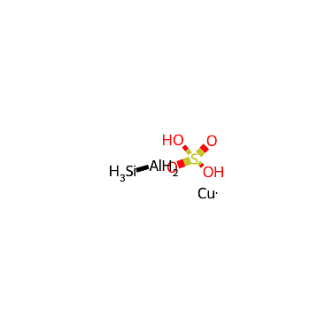 O=S(=O)(O)O.[AlH2][SiH3].[Cu]